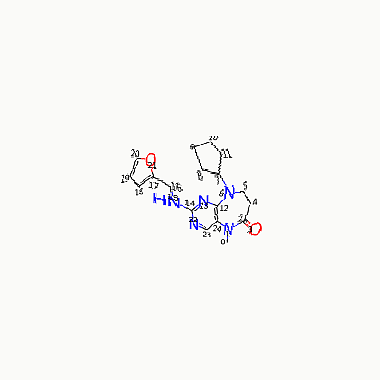 CN1C(=O)CCN(C2CCCC2)c2nc(NCc3ccco3)ncc21